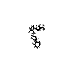 CC1=CCCCC(C)=C1c1ccc(OCc2c(C)nnn2-c2ccc(C(F)F)cn2)nn1